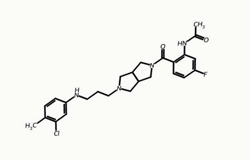 CC(=O)Nc1cc(F)ccc1C(=O)N1CC2CN(CCCNc3ccc(C)c(Cl)c3)CC2C1